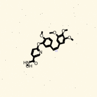 COc1ccc(/C=C\c2cc(OC)c(OC)c(OC)c2)cc1Oc1ccc(C(=O)NO)cn1